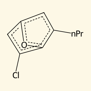 CCCc1cc2cc(Cl)c1o2